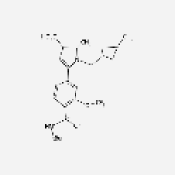 Cc1c(C(=O)O)cc(-c2ccc([S+]([O-])NC(C)(C)C)c(OC(F)(F)F)c2)n1CC1CC(C)C1